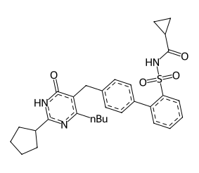 CCCCc1nc(C2CCCC2)[nH]c(=O)c1Cc1ccc(-c2ccccc2S(=O)(=O)NC(=O)C2CC2)cc1